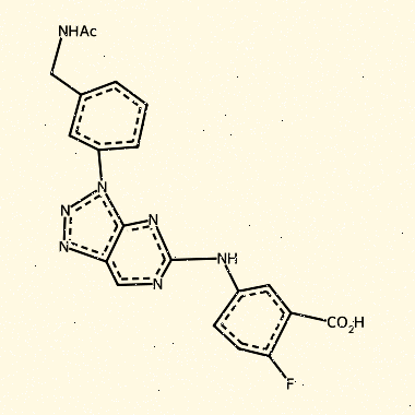 CC(=O)NCc1cccc(-n2nnc3cnc(Nc4ccc(F)c(C(=O)O)c4)nc32)c1